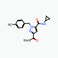 CNC(=O)c1cc(C(=O)NC2CC2)n(Cc2ccc(C#N)cc2)n1